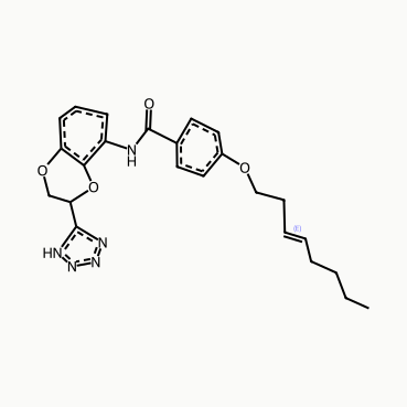 CCCC/C=C/CCOc1ccc(C(=O)Nc2cccc3c2OC(c2nnn[nH]2)CO3)cc1